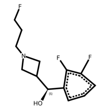 O[C@H](c1cccc(F)c1F)C1CN(CCCF)C1